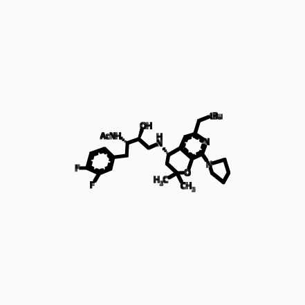 CC(=O)N[C@@H](Cc1ccc(F)c(F)c1)[C@@H](O)CN[C@H]1CC(C)(C)Oc2c1cc(CC(C)(C)C)nc2N1CCCC1